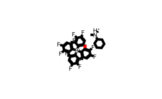 C[NH+](C)C1CCCCC1.Cc1c(F)c(F)cc(F)c1[B-](c1c(F)cc(F)c(F)c1C)(c1c(F)cc(F)c(F)c1C)c1c(F)cc(F)c(F)c1C